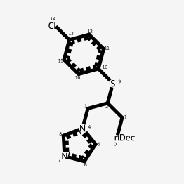 CCCCCCCCCCCC(Cn1ccnc1)Sc1ccc(Cl)cc1